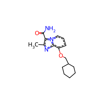 Cc1nc2c(OCC3CCCCC3)cccn2c1C(N)=O